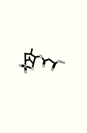 COC(=O)CC(=O)OC1C(C)CC2C(C)C1OS2(=O)=O